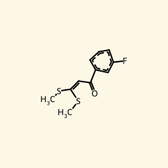 CSC(=CC(=O)c1cccc(F)c1)SC